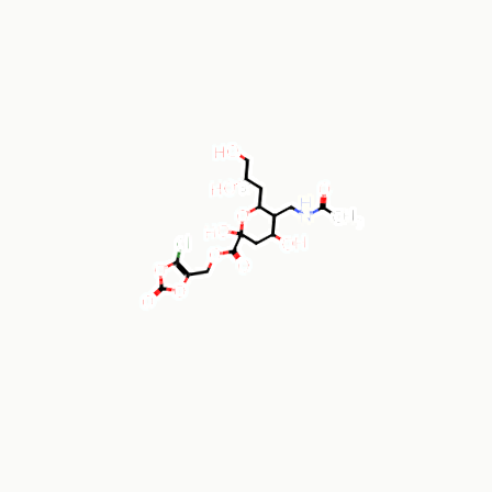 CC(=O)NCC1C(O)CC(O)(C(=O)OCc2oc(=O)oc2Cl)OC1C[C@H](O)CO